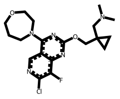 CN(C)CC1(COc2nc(N3CCCOCC3)c3cnc(Cl)c(F)c3n2)CC1